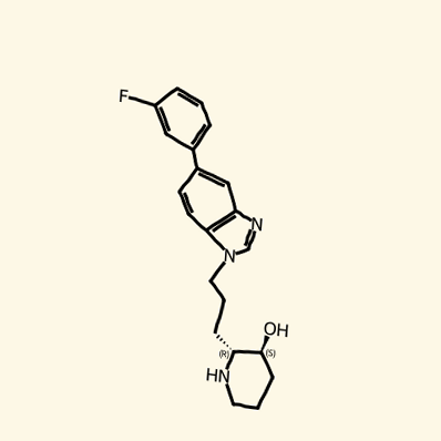 O[C@H]1CCCN[C@@H]1CCCn1cnc2cc(-c3cccc(F)c3)ccc21